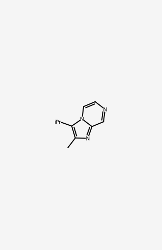 Cc1nc2cnccn2c1C(C)C